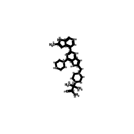 Cc1cc2c(-c3nc(N4CCOCC4)c4sc(CN5CCN(C(C)(C)C(N)=O)CC5)cc4n3)cncc2[nH]1